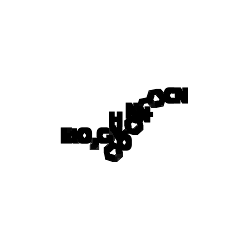 CCOC(=O)C(NC(=O)c1ccc2c(c1)nc(Cc1ccc(C#N)cc1)n2C)c1ccccc1